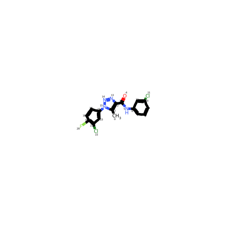 Cc1c(C(=O)Nc2cccc(Cl)c2)nnn1-c1ccc(F)c(Cl)c1